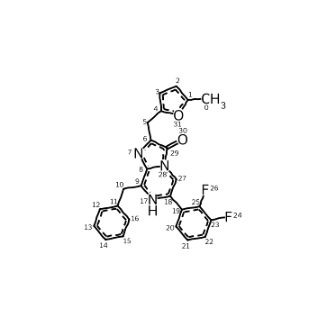 Cc1ccc(Cc2nc3c(Cc4ccccc4)[nH]c(-c4cccc(F)c4F)cn-3c2=O)o1